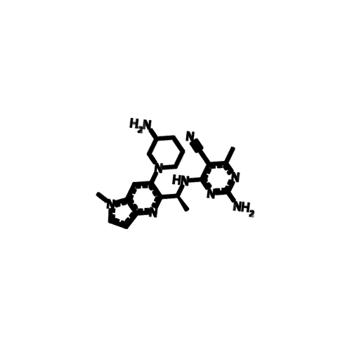 Cc1nc(N)nc(N[C@@H](C)c2nc3ccn(C)c3cc2N2CCCC(N)C2)c1C#N